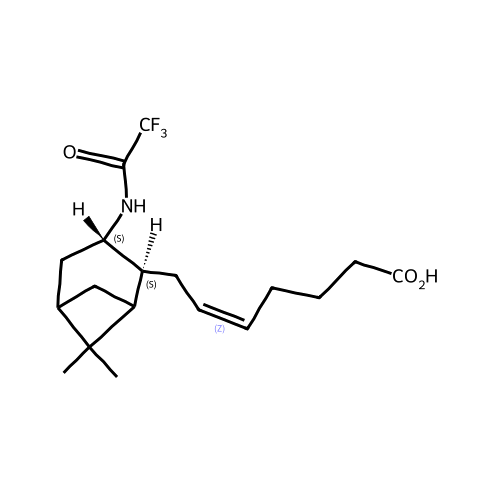 CC1(C)C2CC1[C@H](C/C=C\CCCC(=O)O)[C@@H](NC(=O)C(F)(F)F)C2